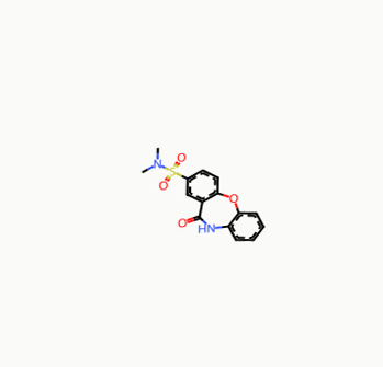 CN(C)S(=O)(=O)c1ccc2c(c1)C(=O)Nc1ccccc1O2